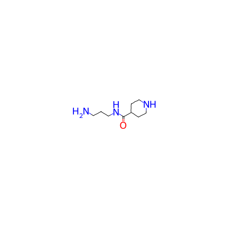 NCCCNC(=O)C1CCNCC1